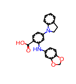 O=C(O)c1ccc(N2CCc3ccccc32)cc1Nc1ccc2c(c1)OCO2